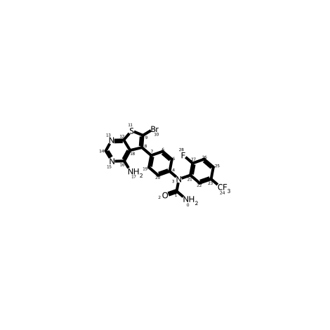 NC(=O)N(c1ccc(-c2c(Br)sc3ncnc(N)c23)cc1)c1cc(C(F)(F)F)ccc1F